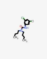 CCCCN(CCCC)C(=O)Nc1cc(Cl)cc(Cl)c1